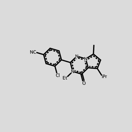 CCn1c(-c2ccc(C#N)cc2Cl)nn2c(C)cc(C(C)C)c2c1=O